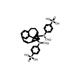 O=CN(c1ccc(P(=O)(O)O)cc1)c1c2c3c4c(c1N(C=O)c1ccc(P(=O)(O)O)cc1)CCc1ccc(cc1C4C=C3)C=C2